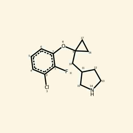 Fc1c(Cl)cccc1OC1(CC2CCNC2)CC1